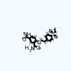 CCS(=O)(=O)c1ccc(CCOc2ccc(C(N)=O)cc2C(N)=O)cc1